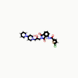 O=C(Nc1cccc2c1C(=O)N(CC(O)CN1CCC(N3CCCCC3)CC1)C2=O)c1ccc(Cl)s1